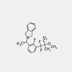 COC(C)(C)C(F)(F)c1cccc([C@@H](C)N2Cc3ccccc3C2)c1F